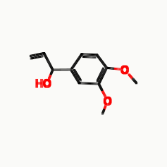 C=CC(O)c1ccc(OC)c(OC)c1